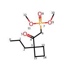 CCCC1(C(=O)CP(=O)(OC)OC)CCC1